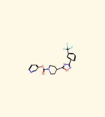 O=C(Oc1cccnc1)N1CCC(c2nc(-c3cccc(C(F)(F)F)c3)no2)CC1